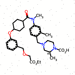 CCOC(=O)COCc1cccc(OC2CCC(C(=O)N(C)c3ccc(CN4CCN(C(=O)O)[C@@H](C)C4)c(C)c3)CC2)c1